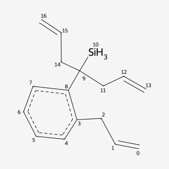 C=CCc1ccccc1C([SiH3])(CC=C)CC=C